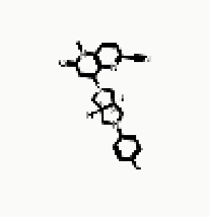 Cn1c(=O)cc(N2C[C@H]3CN(c4ccc(F)cc4)C[C@@H]3C2)c2nc(C#N)ccc21